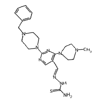 CN1CCN(c2nc(N3CCN(Cc4ccccc4)CC3)ncc2C=NNC(N)=S)CC1